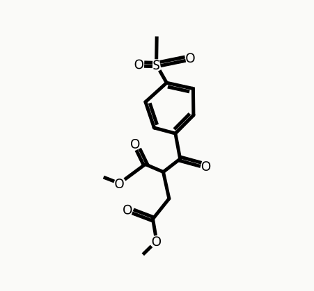 COC(=O)CC(C(=O)OC)C(=O)c1ccc(S(C)(=O)=O)cc1